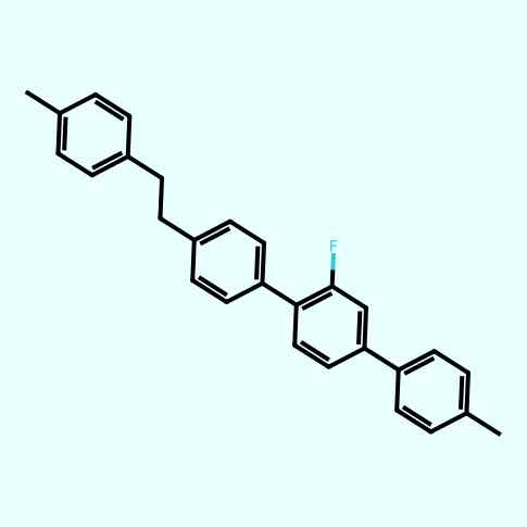 Cc1ccc(CCc2ccc(-c3ccc(-c4ccc(C)cc4)cc3F)cc2)cc1